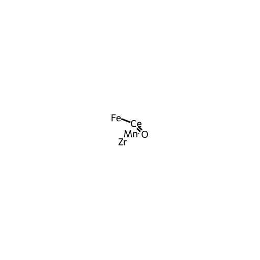 [Mn].[O]=[Ce][Fe].[Zr]